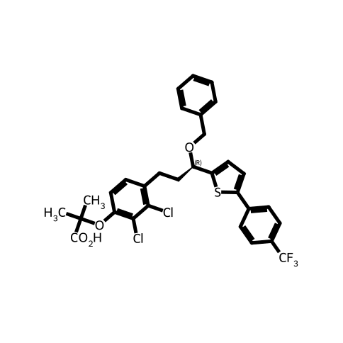 CC(C)(Oc1ccc(CC[C@@H](OCc2ccccc2)c2ccc(-c3ccc(C(F)(F)F)cc3)s2)c(Cl)c1Cl)C(=O)O